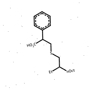 CCCCCCCCC(CC)CSCC(C(=O)O)c1ccccc1